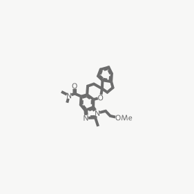 COCCn1c(C)nc2cc(C(=O)N(C)C)c3c(c21)OC1(CCc2ccccc21)CC3